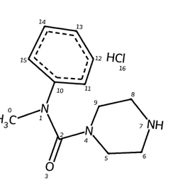 CN(C(=O)N1CCNCC1)c1ccccc1.Cl